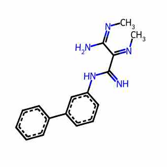 C/N=C(C(=N)Nc1cccc(-c2ccccc2)c1)\C(N)=N/C